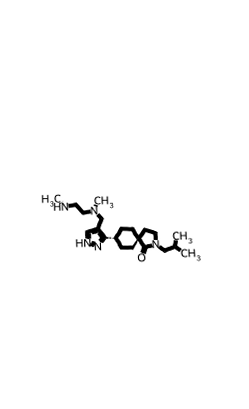 CNCCN(C)Cc1c[nH]nc1[C@H]1CC[C@]2(CCN(CC(C)C)C2=O)CC1